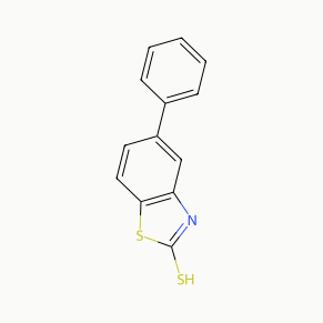 Sc1nc2cc(-c3ccccc3)ccc2s1